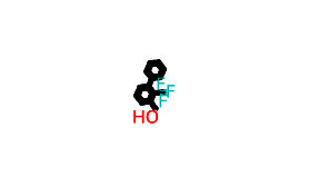 OCc1cccc(-c2ccccc2)c1C(F)(F)F